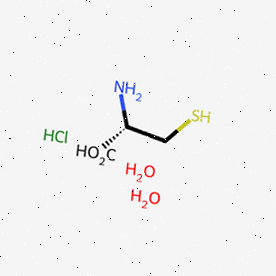 Cl.N[C@H](CS)C(=O)O.O.O